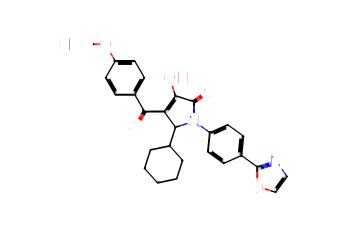 COc1ccc(C(=O)C2=C(O)C(=O)N(c3ccc(-c4ncco4)cc3)C2C2CCCCC2)cc1